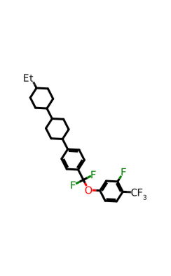 CCC1CCC(C2CCC(c3ccc(C(F)(F)Oc4ccc(C(F)(F)F)c(F)c4)cc3)CC2)CC1